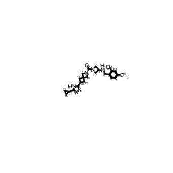 O=C(N1CC(NCc2ccc(C(F)(F)F)cc2Cl)C1)N1CC2(CC(c3nnc(C4CC4)[nH]3)C2)C1